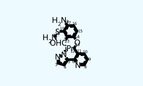 CC(C)n1nccc1-c1ncccc1COc1ccc(N)c(SN)c1C=O